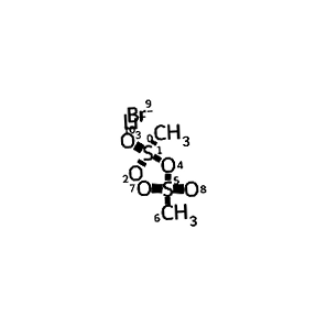 CS(=O)(=O)OS(C)(=O)=O.[Br-].[Li+]